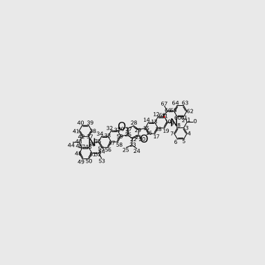 CC(C)c1ccccc1N(c1ccc2cc3c(cc2c1)oc1c(C(C)C)c2c(cc13)oc1cc3cc(N(c4ccccc4C(C)C)c4ccccc4C(C)C)ccc3cc12)c1ccccc1C(C)C